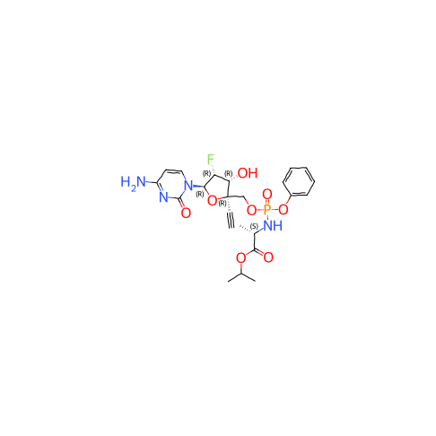 C#C[C@]1(COP(=O)(N[C@@H](C)C(=O)OC(C)C)Oc2ccccc2)O[C@@H](n2ccc(N)nc2=O)[C@H](F)[C@@H]1O